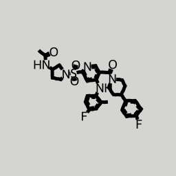 CC(=O)NC1CCN(S(=O)(=O)c2cc(Nc3ccc(F)cc3C)c(C(=O)N3CCC(c4ccc(F)cc4)CC3)cn2)C1